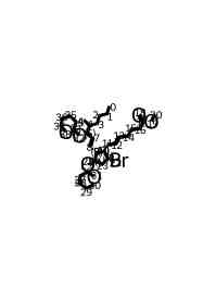 CCCCC(C)[C@@H](C=C[C@@H]1[C@@H](CC=CCCCC(=O)OC)[C@H](Br)C[C@H]1OC1CCCCO1)OC1CCCCO1